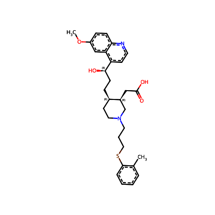 COc1ccc2nccc([C@H](O)CC[C@@H]3CCN(CCCSc4ccccc4C)C[C@@H]3CC(=O)O)c2c1